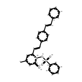 Cc1cc(/C=C/c2ccc(/C=C/c3ccccc3)cc2)n(OS(=O)(=O)c2ccccc2)c(=O)c1